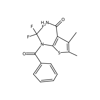 Cc1sc(N(C(=O)c2ccccc2)C(F)(F)F)c(C(N)=O)c1C